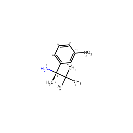 CC(=O)C(C)(C)[C@](C)(N)c1cccc([N+](=O)[O-])c1